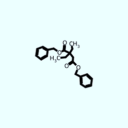 CCC(CC)(CC(=O)OCc1ccccc1)C(=O)OCc1ccccc1